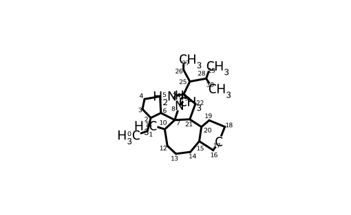 CCC1CCCC1C1(NC)C(C)CCCC2CCCCC2C1CC(N)C(CC)C(C)C